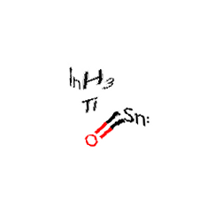 [InH3].[O]=[Sn].[Ti]